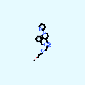 COCCCNCc1nnc(C2CCN(c3ccccn3)CC2)n1Cc1ccccc1